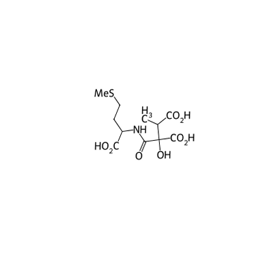 CSCCC(NC(=O)C(O)(C(=O)O)C(C)C(=O)O)C(=O)O